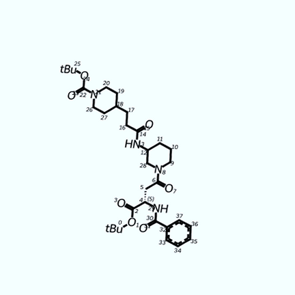 CC(C)(C)OC(=O)[C@H](CC(=O)N1CCCC(NC(=O)CCC2CCN(C(=O)OC(C)(C)C)CC2)C1)NC(=O)c1ccccc1